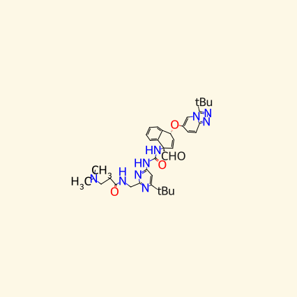 CN(C)CCC(=O)NCc1nc(NC(=O)N[C@@]2(C=O)C=C[C@@H](Oc3ccc4nnc(C(C)(C)C)n4c3)c3ccccc32)cc(C(C)(C)C)n1